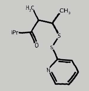 CC(C)C(=O)C(C)C(C)SSc1ccccn1